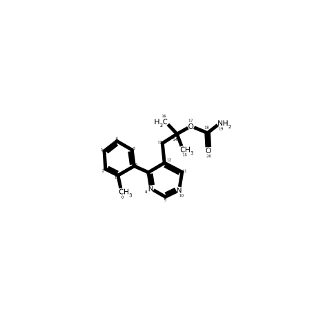 Cc1ccccc1-c1ncncc1CC(C)(C)OC(N)=O